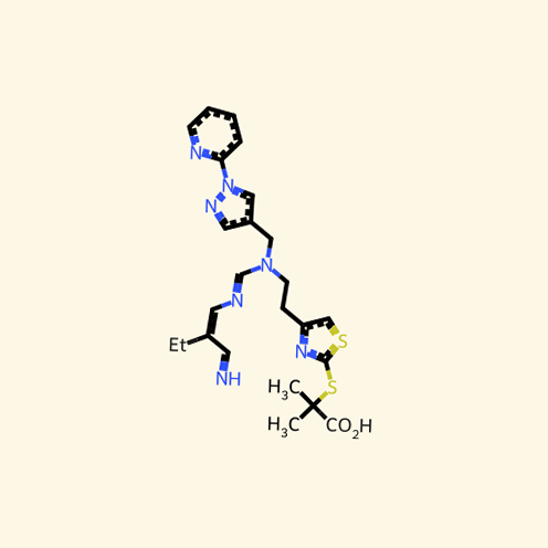 CC/C(C=N)=C/N=C/N(CCc1csc(SC(C)(C)C(=O)O)n1)Cc1cnn(-c2ccccn2)c1